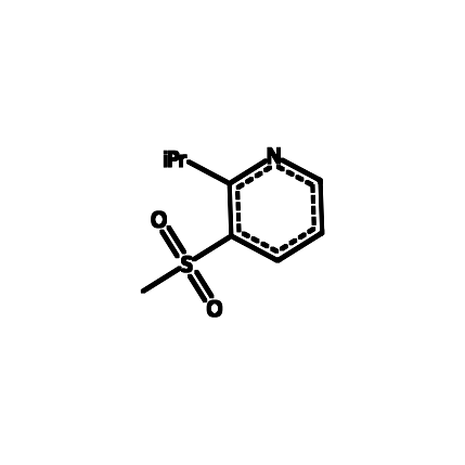 CC(C)c1ncccc1S(C)(=O)=O